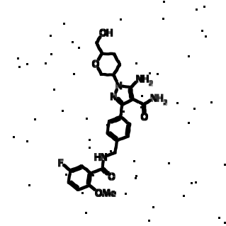 COc1ccc(F)cc1C(=O)NCc1ccc(-c2nn(C3CCC(CO)OC3)c(N)c2C(N)=O)cc1